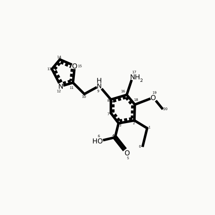 CCc1c(C(=O)O)cc(NCc2ncco2)c(N)c1OC